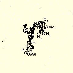 COC(=O)NC(C(=O)N1CCC[C@H]1c1ncc(-c2cc(F)c3c(c2)OC(c2cnc(C4CC4)s2)n2c-3cc3cc(-c4cnc([C@@H]5CC6C(C)C6N5C(=O)C(NC(=O)OC)C5C[C@@H](C)O[C@H](C)C5)[nH]4)ccc32)[nH]1)C(C)C